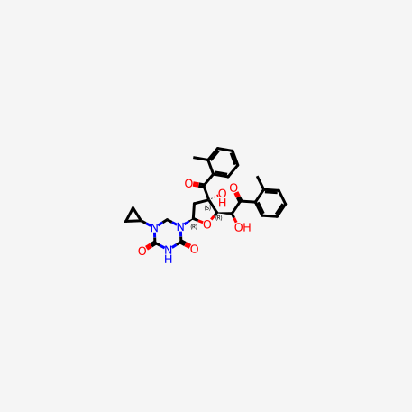 Cc1ccccc1C(=O)C(O)[C@H]1O[C@@H](N2CN(C3CC3)C(=O)NC2=O)C[C@@]1(O)C(=O)c1ccccc1C